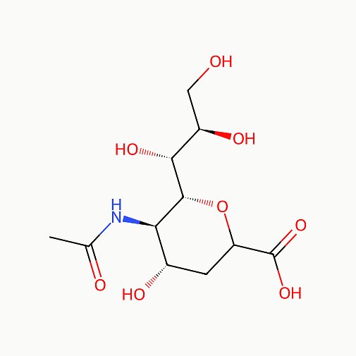 CC(=O)N[C@H]1[C@H]([C@H](O)[C@H](O)CO)OC(C(=O)O)C[C@@H]1O